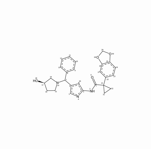 O=C(Nc1ncc(C(c2ccccc2)N2CC[C@@H](O)C2)s1)C1(c2ccc3c(c2)OCO3)CC1